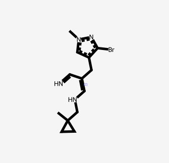 Cn1cc(C/C(C=N)=C/NCC2(C)CC2)c(Br)n1